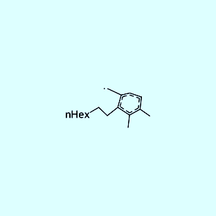 [CH2]c1ccc(C)c(C)c1CCCCCCCC